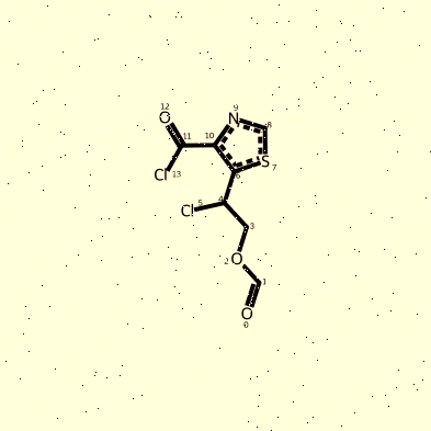 O=COCC(Cl)c1scnc1C(=O)Cl